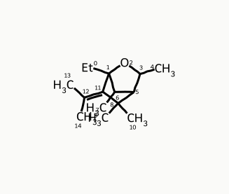 CCC12OC(C)C(C1C)C(C)(C)C2=C(C)C